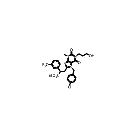 CCOC(=O)C(Cc1nc2c(c(=O)n(CCCO)c(=O)n2C)n1Cc1ccc(Cl)cc1)c1cccc(C(F)(F)F)c1